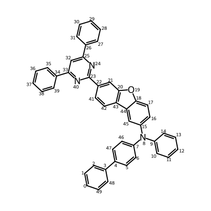 c1ccc(-c2ccc(N(c3ccccc3)c3ccc4oc5cc(-c6nc(-c7ccccc7)cc(-c7ccccc7)n6)ccc5c4c3)cc2)cc1